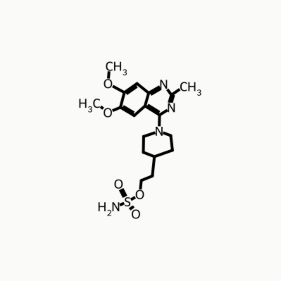 COc1cc2nc(C)nc(N3CCC(CCOS(N)(=O)=O)CC3)c2cc1OC